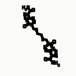 NC(=O)c1ncn2c(=O)n(CSCCSCn3nnc4c(C(N)=O)ncn4c3=O)nnc12